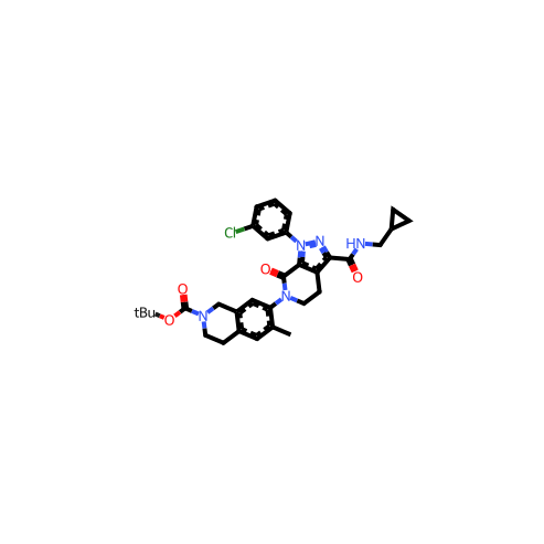 Cc1cc2c(cc1N1CCc3c(C(=O)NCC4CC4)nn(-c4cccc(Cl)c4)c3C1=O)CN(C(=O)OC(C)(C)C)CC2